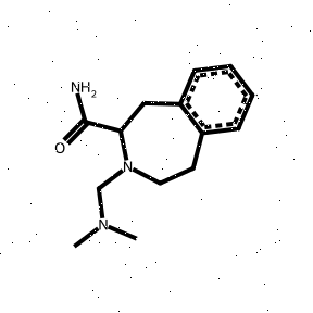 CN(C)CN1CCc2c[c]ccc2CC1C(N)=O